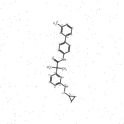 CC(C)(C(=O)Nc1ccc(-c2cccc(C(F)(F)F)c2)cc1)c1ccnc(NSC2CC2)n1